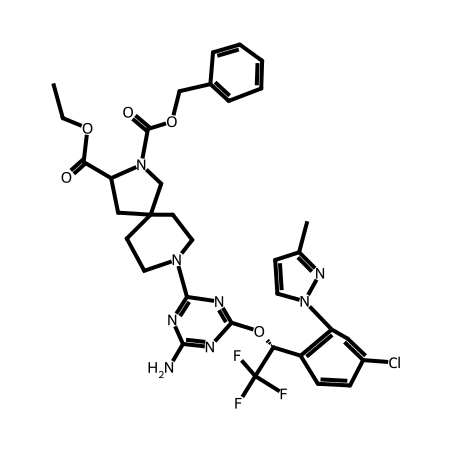 CCOC(=O)C1CC2(CCN(c3nc(N)nc(O[C@H](c4ccc(Cl)cc4-n4ccc(C)n4)C(F)(F)F)n3)CC2)CN1C(=O)OCc1ccccc1